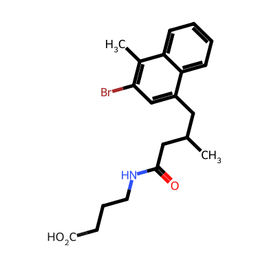 Cc1c(Br)cc(CC(C)CC(=O)NCCCC(=O)O)c2ccccc12